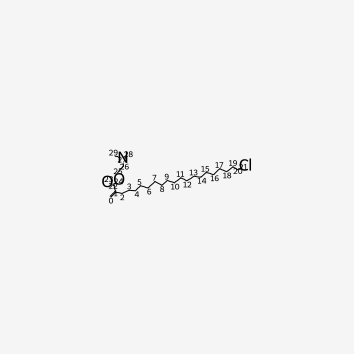 C=C(CCCCCCCCCCCCCCCCCCCCl)C(=O)OCCN(C)C